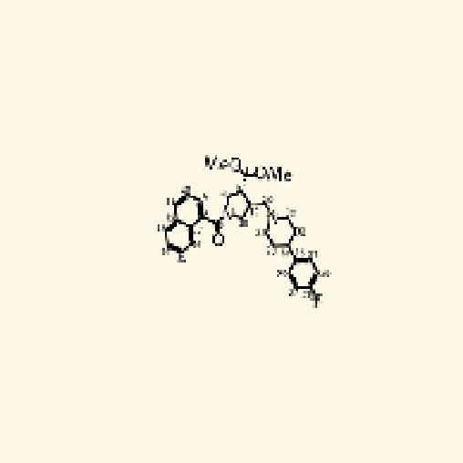 COC(OC)[C@H]1CN(C(=O)c2cccc3ccccc23)C[C@@H]1CN1CCC(c2ccc(F)cc2)CC1